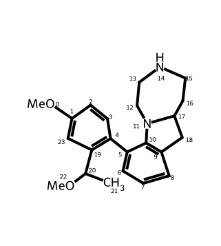 COc1ccc(-c2cccc3c2N2CCNCCC2C3)c(C(C)OC)c1